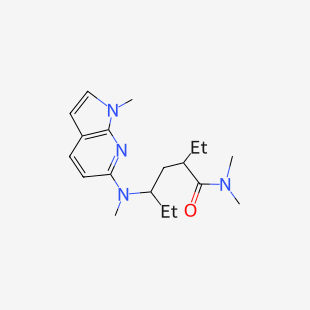 CCC(CC(CC)N(C)c1ccc2ccn(C)c2n1)C(=O)N(C)C